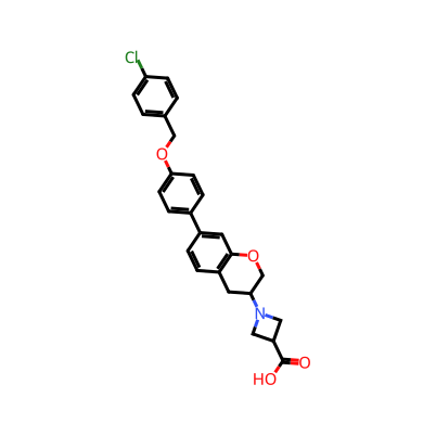 O=C(O)C1CN(C2COc3cc(-c4ccc(OCc5ccc(Cl)cc5)cc4)ccc3C2)C1